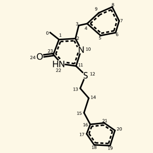 Cc1c(Cc2ccccc2)nc(SCCCc2ccccc2)[nH]c1=O